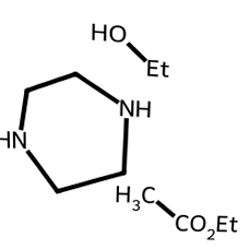 C1CNCCN1.CCO.CCOC(C)=O